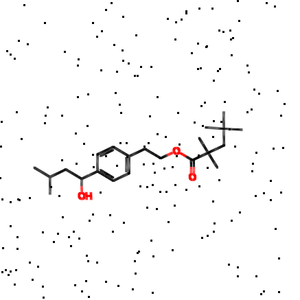 CC(C)CC(O)c1ccc(CCOC(=O)C(C)(C)CC(C)(C)C)cc1